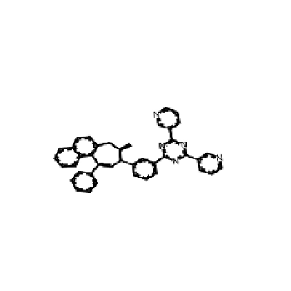 C=C1Cc2ccc3ccccc3c2C(c2ccccc2)=CC1c1cccc(-c2nc(-c3cccnc3)nc(-c3cccnc3)n2)c1